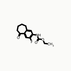 CCOC(=O)Nc1cc2c(cc1F)C(=O)CCCC2